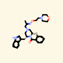 COc1ccccc1C(=O)N1CCN(CC(C)=NOCCN2CCOCC2)C[C@H]1Cc1c[nH]c2ccccc12